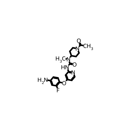 CC(=O)N1CCC(N(C)C(=O)Nc2cc(Oc3ccc(N)cc3F)ccn2)CC1